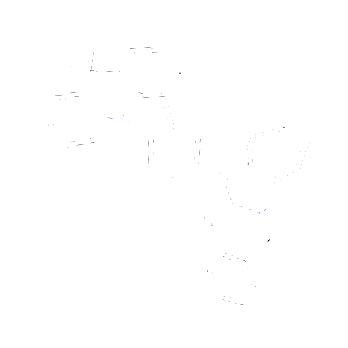 CC1(C)c2ccccc2-n2c3ccc(N4C5=Nc6ccccc6C(C)(C)N5c5ccccc54)cc3c3cccc1c32